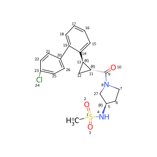 CS(=O)(=O)N[C@@H]1CCN(C(=O)[C@@H]2C[C@H]2c2ccccc2-c2ccc(Cl)cc2)C1